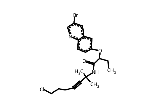 CCC(Oc1ccc2ncc(Br)cc2c1)C(=O)NC(C)(C)C#CCCCCl